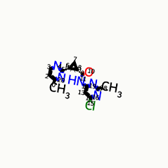 Cc1ccnc([C@H]2C[C@@H]2C(=O)Nc2cc(Cl)nc(C)n2)n1